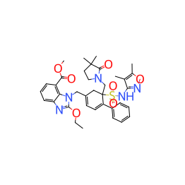 CCOc1nc2cccc(C(=O)OC)c2n1CC1=CC=C(c2ccccc2)C(CN2CCC(C)(C)C2=O)(S(=O)(=O)Nc2noc(C)c2C)C1